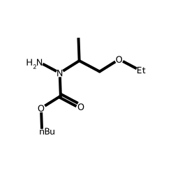 CCCCOC(=O)N(N)C(C)COCC